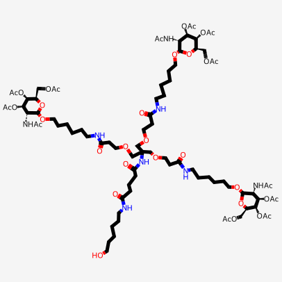 CC(=O)N[C@H]1C(OCCCCCCNC(=O)CCOCC(COCCC(=O)NCCCCCCOC2O[C@H](COC(C)=O)[C@H](OC(C)=O)[C@H](OC(C)=O)[C@H]2NC(C)=O)(COCCC(=O)NCCCCCCOC2O[C@H](COC(C)=O)[C@H](OC(C)=O)[C@H](OC(C)=O)[C@H]2NC(C)=O)NC(=O)CCCC(=O)NCCCCCCO)O[C@H](COC(C)=O)[C@H](OC(C)=O)[C@@H]1OC(C)=O